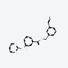 O=C(O)C=Cc1cccc(CNC(=O)c2cccc(Nc3ncccn3)c2)c1